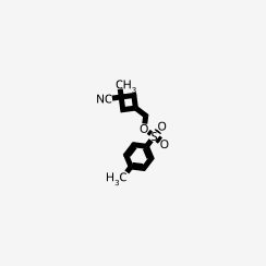 Cc1ccc(S(=O)(=O)OCC2CC(C)(C#N)C2)cc1